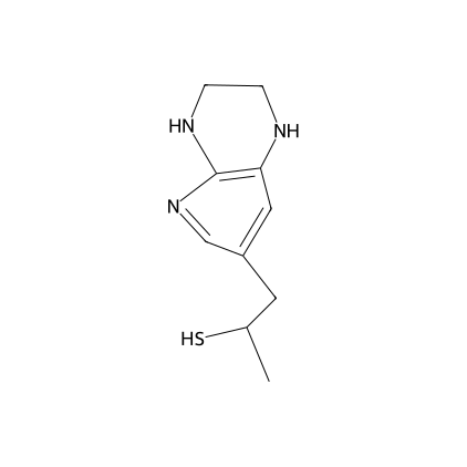 CC(S)Cc1cnc2c(c1)NCCN2